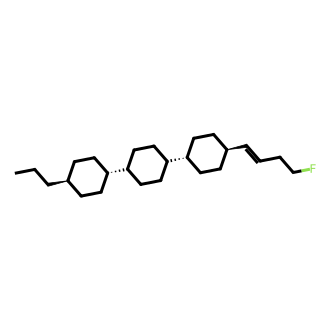 CCC[C@H]1CC[C@H](C2CCC([C@H]3CC[C@H](/C=C/CCF)CC3)CC2)CC1